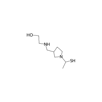 CC(S)N1CCC(CNCCO)C1